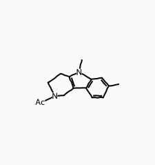 CC(=O)N1CCc2c(c3ccc(C)cc3n2C)C1